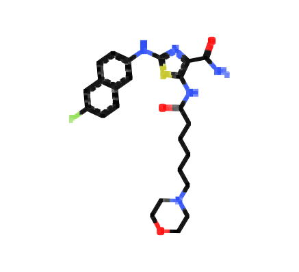 NC(=O)c1nc(Nc2ccc3cc(F)ccc3c2)sc1NC(=O)CCCCCN1CCOCC1